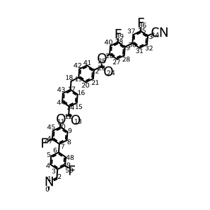 CN=Cc1ccc(-c2ccc(OC(=O)c3ccc(Cc4ccc(C(=O)Oc5ccc(-c6ccc(C#N)c(F)c6)c(F)c5)cc4)cc3)cc2F)cc1F